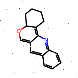 C1=c2cc3ccccc3nc2=C2CCCCC2O1